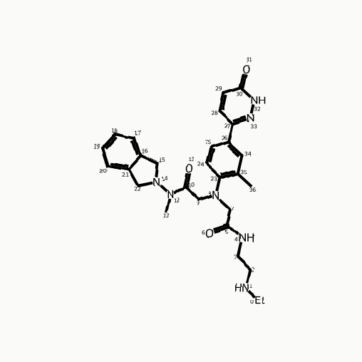 CCNCCNC(=O)CN(CC(=O)N(C)N1Cc2ccccc2C1)c1ccc(-c2ccc(=O)[nH]n2)cc1C